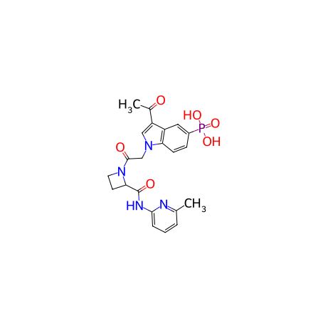 CC(=O)c1cn(CC(=O)N2CCC2C(=O)Nc2cccc(C)n2)c2ccc(P(=O)(O)O)cc12